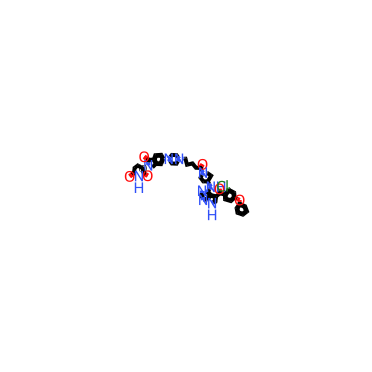 O=C1CC[C@H](N2Cc3cc(N4CCN(CCCCC(=O)N5CCC(Nc6ncnc7[nH]cc(C(=O)c8ccc(Oc9ccccc9)cc8Cl)c67)CC5)CC4)ccc3C2=O)C(=O)N1